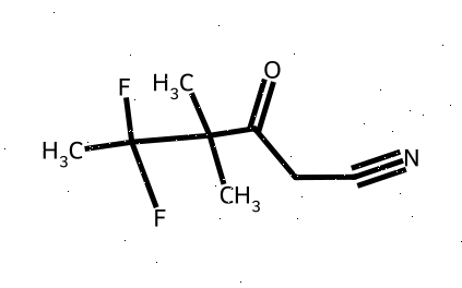 CC(F)(F)C(C)(C)C(=O)CC#N